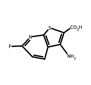 Nc1c(C(=O)O)sc2nc(F)ccc12